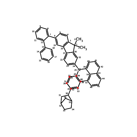 CC1(C)c2ccc(-c3ccccc3-c3ccccc3)cc2-c2ccc(N(c3ccc(C4CC5CCC4C5)cc3)c3cccc4cccc(C5CCCCC5)c34)cc21